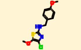 COc1ccc(CNc2nc(Cl)c(OC)s2)cc1